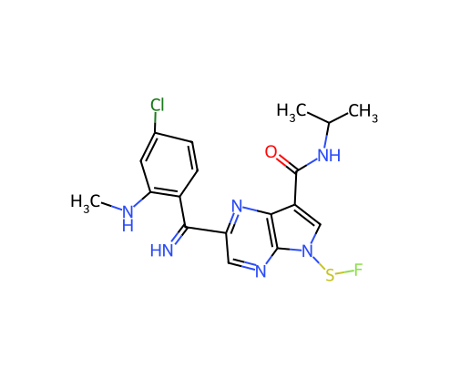 CNc1cc(Cl)ccc1C(=N)c1cnc2c(n1)c(C(=O)NC(C)C)cn2SF